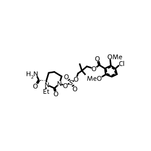 CCN1C(=O)N(OS(=O)(=O)OCC(C)(C)COC(=O)c2c(OC)ccc(Cl)c2OC)CCC[C@H]1C(N)=O